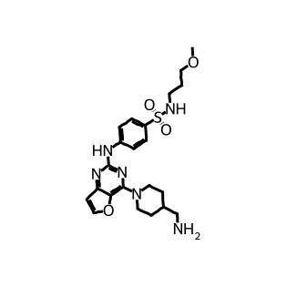 COCCCNS(=O)(=O)c1ccc(Nc2nc(N3CCC(CN)CC3)c3occc3n2)cc1